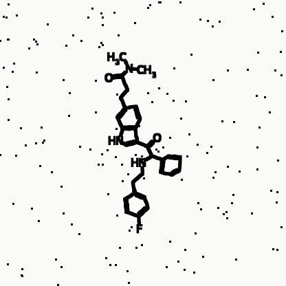 CN(C)C(=O)CCc1ccc2c(C(=O)C(NCCc3ccc(F)cc3)c3ccccc3)c[nH]c2c1